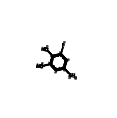 Nc1cc(O)c(O)c(F)c1